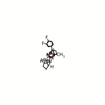 Cc1cc(N2C[C@H]3CC[C@@H](C2)[C@@H]3Nc2nc3n(n2)CCN3c2ccc(F)c(F)c2)ncn1